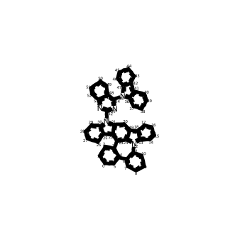 c1ccc2c(c1)-c1ccccc1-n1c3ccccc3c3cc4c(c-2c31)c1ccccc1n4-c1nc(-n2c3ccccc3c3ccccc32)c2ccccc2n1